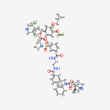 O=C(NCCNC(=O)c1cccc(S(=O)(=O)N2CCS[C@H]2C(=O)O[C@@H](Cc2c(Cl)cncc2Cl)c2ccc(OC(F)F)c(OCC3CC3)c2)c1)c1cccc(CN(C(=O)O[C@H]2CN3CCC2CC3)c2ccccc2)c1